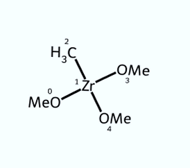 C[O][Zr]([CH3])([O]C)[O]C